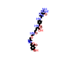 Nc1nc2ncc(CNc3ccc(C(=O)NC(CCCC(=O)NCCOCc4cn(-c5cc6ccc(O)cc6c(=O)o5)nn4)C(=O)O)cc3)nc2c(=O)[nH]1